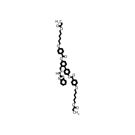 C=CC(=O)OCCCCCCOc1ccc(C(=O)Oc2ccc(-c3ccc(OC(=O)c4ccc(OCCCCCCOC(=O)C=C)cc4)cc3/C=N/Nc3nc4ccccc4s3)cc2)cc1